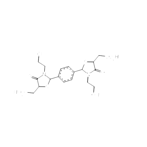 O=C(O)CC1SC(c2ccc(C3SC(CC(=O)O)C(=O)N3CCO)cc2)N(CCO)C1=O